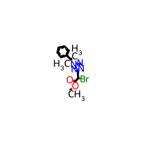 CCOC(=O)C(Br)c1nnn(C(C)(C)c2ccccc2)n1